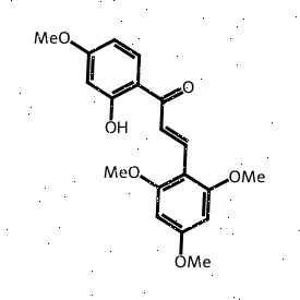 COc1ccc(C(=O)C=Cc2c(OC)cc(OC)cc2OC)c(O)c1